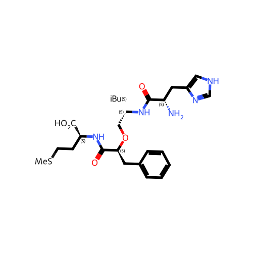 CC[C@H](C)[C@@H](CO[C@@H](Cc1ccccc1)C(=O)N[C@@H](CCSC)C(=O)O)NC(=O)[C@@H](N)Cc1c[nH]cn1